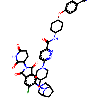 N#Cc1ccc(O[C@H]2CC[C@H](NC(=O)c3ccc(N4CCC(CN5C6CCC5CN(c5cc7c(cc5F)C(=O)N(C5CCC(=O)NC5=O)C7=O)C6)CC4)nn3)CC2)cc1Cl